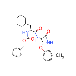 Cc1cccc(O[C@H]2NC(=O)[C@H]2NC(=O)[C@H](CC2CCCCC2)NC(=O)OCc2ccccc2)c1